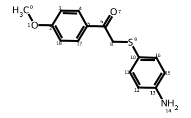 COc1ccc(C(=O)CSc2ccc(N)cc2)cc1